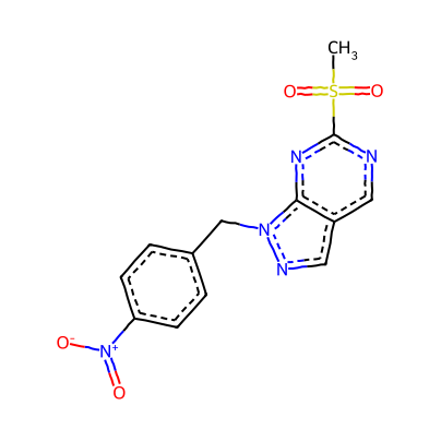 CS(=O)(=O)c1ncc2cnn(Cc3ccc([N+](=O)[O-])cc3)c2n1